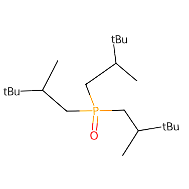 CC(CP(=O)(CC(C)C(C)(C)C)CC(C)C(C)(C)C)C(C)(C)C